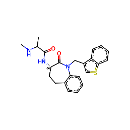 CNC(C)C(=O)N[C@H]1CCc2ccccc2N(Cc2csc3ccccc23)C1=O